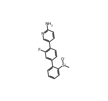 C[S+]([O-])c1ccccc1-c1ccc(-c2ccc(N)nc2)c(F)c1